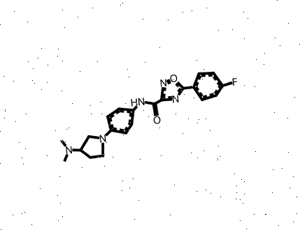 CN(C)C1CCN(c2ccc(NC(=O)c3noc(-c4ccc(F)cc4)n3)cc2)C1